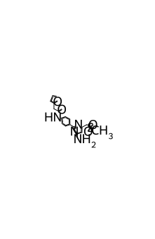 CS(=O)(=O)Cc1cc(N)nc(-c2ccc(NC(=O)Cc3ccco3)cc2)n1